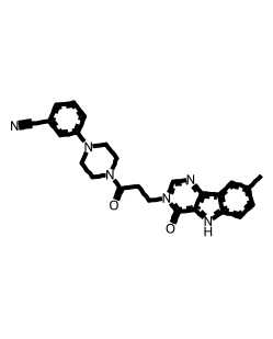 Cc1ccc2[nH]c3c(=O)n(CCC(=O)N4CCN(c5cccc(C#N)c5)CC4)cnc3c2c1